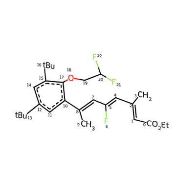 CCOC(=O)C=C(C)C=C(F)C=C(C)c1cc(C(C)(C)C)cc(C(C)(C)C)c1OCC(F)F